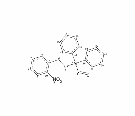 C=C[Si](OCc1ccccc1[N+](=O)[O-])(c1ccccc1)c1ccccc1